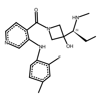 CC[C@H](NC)C1(O)CN(C(=O)c2ccncc2Nc2ccc(C)cc2F)C1